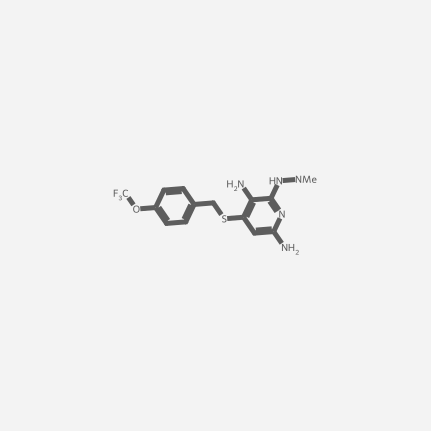 CNNc1nc(N)cc(SCc2ccc(OC(F)(F)F)cc2)c1N